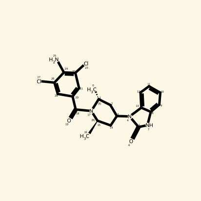 C[C@@H]1CC(n2c(=O)[nH]c3ccccc32)C[C@@H](C)N1C(=O)c1cc(Cl)c(N)c(Cl)c1